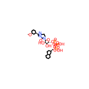 COc1cccc(-c2cn3c(=O)n([C@@H]4O[C@H](COP(=O)(O)OP(=O)(O)OP(=O)(O)OCc5ccc6ccccc6c5)C(O)[C@@H]4O)ccc3n2)c1